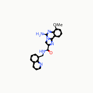 COc1cccc2c1nc(N)n1cc(C(=O)NCc3cccc4cccnc34)nc21